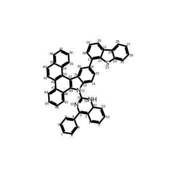 C1=CC2=C(c3ccccc3)N=C(n3c4ccc(-c5cccc6c5sc5ccccc56)cc4c4c5c6ccccc6ccc5c5ccccc5c43)NC2C=C1